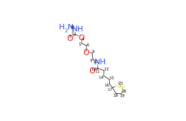 NNC(=O)OCCOCCNC(=O)CCCCC1CCSS1